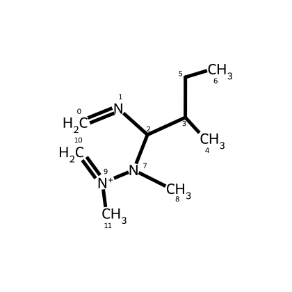 C=NC(C(C)CC)N(C)[N+](=C)C